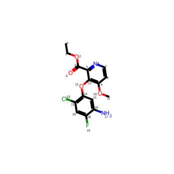 CCOC(=O)c1nccc(OC)c1Oc1cc(N)c(F)cc1Cl